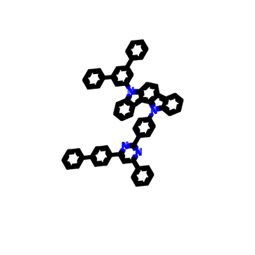 c1ccc(-c2ccc(-c3cc(-c4ccccc4)nc(-c4ccc(-n5c6ccccc6c6ccc7c(c8ccccc8n7-c7cc(-c8ccccc8)cc(-c8ccccc8)c7)c65)cc4)n3)cc2)cc1